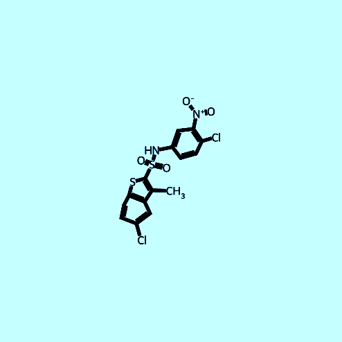 Cc1c(S(=O)(=O)Nc2ccc(Cl)c([N+](=O)[O-])c2)sc2ccc(Cl)cc12